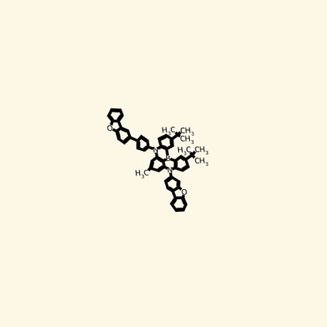 Cc1cc2c3c(c1)N(c1ccc4c(c1)oc1ccccc14)c1ccc(C(C)(C)C)cc1B3c1cc(C(C)(C)C)ccc1N2c1ccc(-c2ccc3oc4ccccc4c3c2)cc1